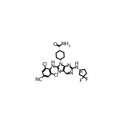 N#Cc1cc(Cl)c(Nc2nc3cnc(N[C@@H]4CCC(F)(F)C4)nc3n2[C@H]2CC[C@@H](C(N)=O)CC2)c(Cl)c1